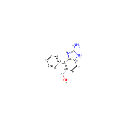 Nc1nc2c(-c3ccccc3)c(CO)ccc2[nH]1